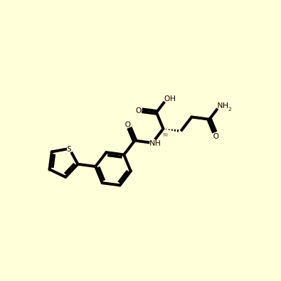 NC(=O)CC[C@H](NC(=O)c1cccc(-c2cccs2)c1)C(=O)O